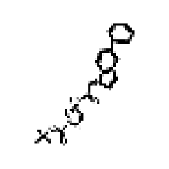 CC(C)(C)OC(=O)n1ncc(NC(=O)Cn2ccc3cc(-c4ccccc4)ccc32)n1